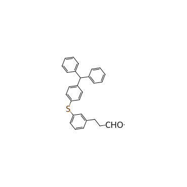 O=[C]CCc1cccc(Sc2ccc(C(c3ccccc3)c3ccccc3)cc2)c1